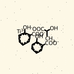 CC(O)C(=O)[O-].O=C([O-])c1ccccc1O.O=C([O-])c1ccccc1O.[Ti+3]